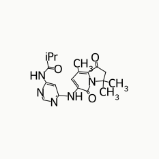 Cc1cc(Nc2cc(NC(=O)C(C)C)ncn2)c(=O)n2c1C(=O)CC2(C)C